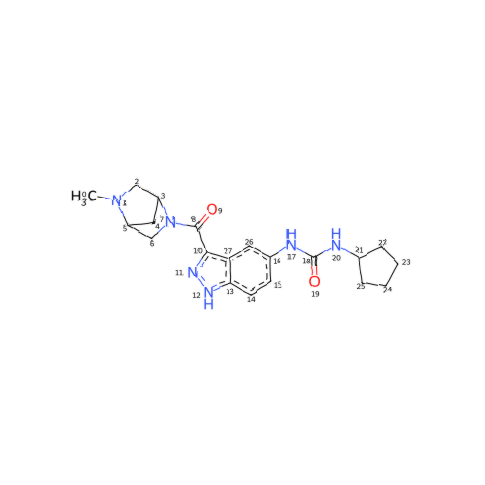 CN1CC2CC1CN2C(=O)c1n[nH]c2ccc(NC(=O)NC3CCCC3)cc12